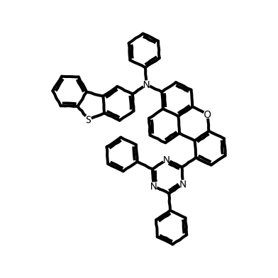 c1ccc(-c2nc(-c3ccccc3)nc(-c3cccc4c3-c3cccc5c(N(c6ccccc6)c6ccc7sc8ccccc8c7c6)ccc(c35)O4)n2)cc1